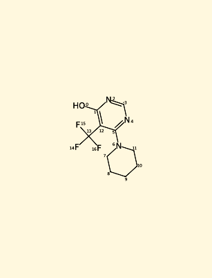 Oc1n[c]nc(N2CCCCC2)c1C(F)(F)F